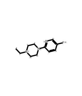 CCN1CCN(c2ccc(F)cn2)CC1